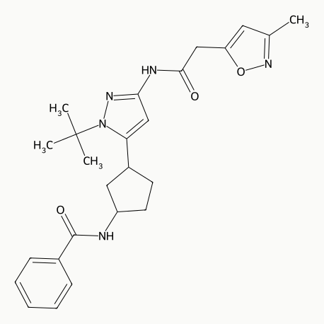 Cc1cc(CC(=O)Nc2cc(C3CCC(NC(=O)c4ccccc4)C3)n(C(C)(C)C)n2)on1